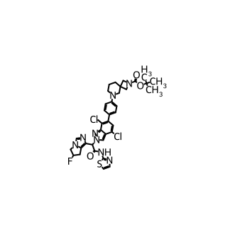 CC(C)(C)OC(=O)N1CC2(CCCN(c3ccc(-c4cc(Cl)c5cn(C(C(=O)Nc6nccs6)c6ncn7c6CC(F)C7)nc5c4Cl)cc3)C2)C1